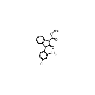 Cc1cc(Cl)ccc1C1C(=O)N(C(=O)OC(C)(C)C)c2ccccc21